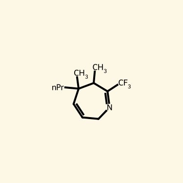 CCCC1(C)C=CCN=C(C(F)(F)F)C1C